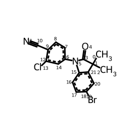 CC1(C)C(=O)N(c2ccc(C#N)c(Cl)c2)c2ccc(Br)cc21